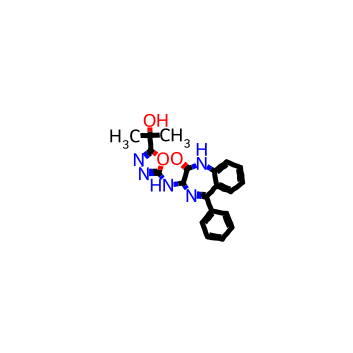 CC(C)(O)c1nnc(NC2N=C(c3ccccc3)c3ccccc3NC2=O)o1